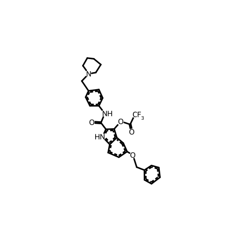 O=C(Nc1ccc(CN2CCCCC2)cc1)c1[nH]c2ccc(OCc3ccccc3)cc2c1OC(=O)C(F)(F)F